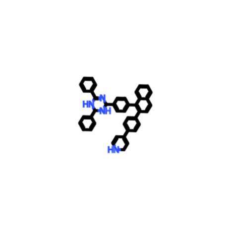 C1=CC(c2ccc(-c3ccc4ccccc4c3-c3ccc(C4N=C(c5ccccc5)NC(c5ccccc5)N4)cc3)cc2)=CCN1